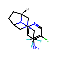 Nc1cc(N2C3CC[C@@H]2CN(CC(F)(F)F)C3)ncc1Cl